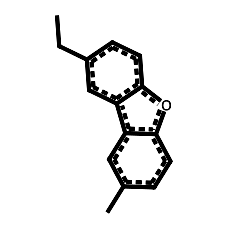 CCc1ccc2oc3ccc(C)cc3c2c1